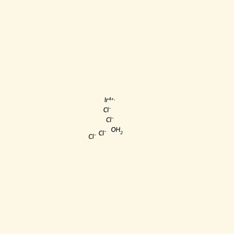 O.[Cl-].[Cl-].[Cl-].[Cl-].[Ir+4]